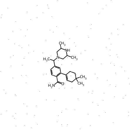 CC1CN(C(C)c2ccc(C(N)=O)c(C3=CCC(C)(C)CC3)c2)CC(C)N1